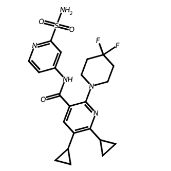 NS(=O)(=O)c1cc(NC(=O)c2cc(C3CC3)c(C3CC3)nc2N2CCC(F)(F)CC2)ccn1